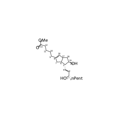 CCCCC[C@H](O)/C=C/[C@@H]1C2CC(CCCCC(=O)OC)=CC2C[C@H]1O